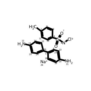 Cc1ccc(S(=O)(=O)[N-]Cl)cc1.Nc1ccc(-c2ccc(N)cc2)cc1.[Na+]